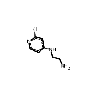 NCCNc1ccnc(Cl)c1